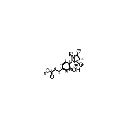 COC(=O)CCc1ccc(N2N(I)C(=O)CS2(=O)=O)c(O)c1